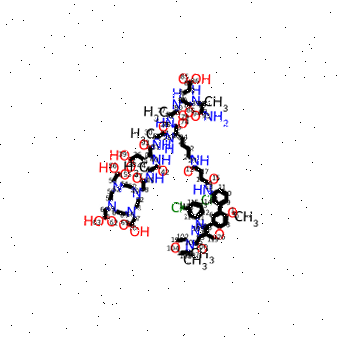 COc1cc2c(cc1-c1cccc(NC(=O)CCC(=O)NCCCC[C@@H](NC(=O)[C@@H](C)NC(=O)[C@@H](CCC(=O)O)NC(=O)[C@@H](C)NC(=O)CN3CCN(CC(=O)O)CCN(CC(=O)O)CCN(CC(=O)O)CC3)C(=O)N[C@H](C)C(=O)N[C@H](CCC(=O)O)C(=O)N[C@H](C)C(N)=O)c1)-c1c(c(C(=O)N3CCOCC3(C)C)nn1-c1cc(Cl)cc(Cl)c1)CO2